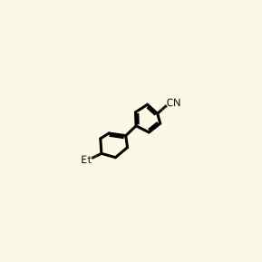 CCC1CC=C(c2ccc(C#N)cc2)CC1